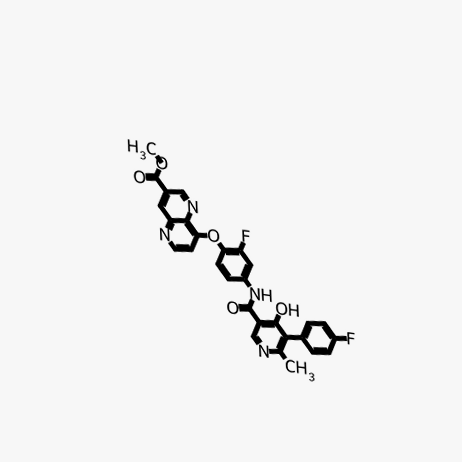 COC(=O)c1cnc2c(Oc3ccc(NC(=O)c4cnc(C)c(-c5ccc(F)cc5)c4O)cc3F)ccnc2c1